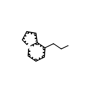 FCCc1cccn2cccc12